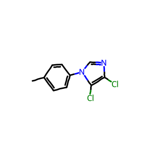 Cc1ccc(-n2cnc(Cl)c2Cl)cc1